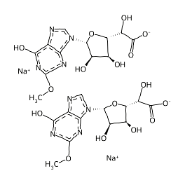 COc1nc(O)c2ncn([C@@H]3O[C@H](C(O)C(=O)[O-])[C@@H](O)[C@H]3O)c2n1.COc1nc(O)c2ncn([C@@H]3O[C@H](C(O)C(=O)[O-])[C@@H](O)[C@H]3O)c2n1.[Na+].[Na+]